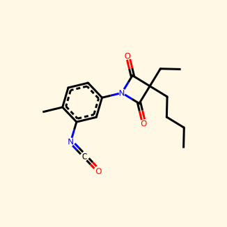 CCCCC1(CC)C(=O)N(c2ccc(C)c(N=C=O)c2)C1=O